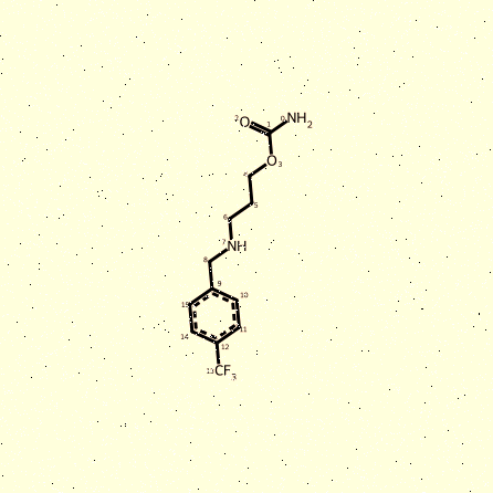 NC(=O)OCCCNCc1ccc(C(F)(F)F)cc1